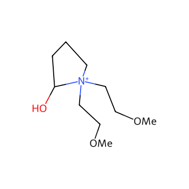 COCC[N+]1(CCOC)CCCC1O